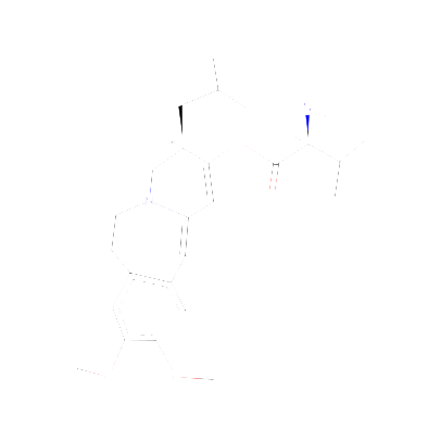 COc1cc2c(cc1OC)CCN1C[C@@H](CC(C)C)C(OC(=O)[C@@H](N)C(C)C)=CC1=C2